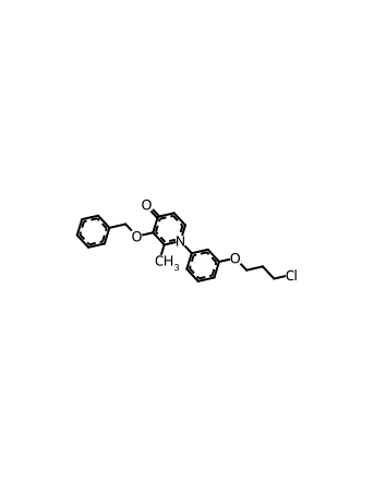 Cc1c(OCc2ccccc2)c(=O)ccn1-c1cccc(OCCCCl)c1